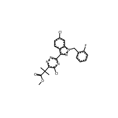 COC(=O)C(C)(C)c1nnc(-c2nn(Cc3ccccc3F)c3cc(Cl)ccc23)nc1Cl